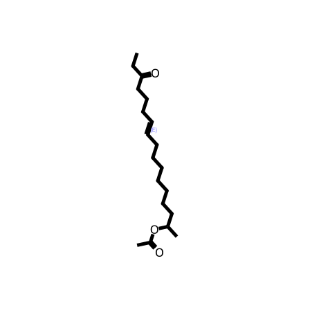 CCC(=O)CCC/C=C/CCCCCCCC(C)OC(C)=O